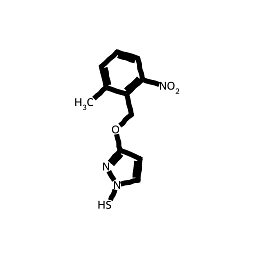 Cc1cccc([N+](=O)[O-])c1COc1ccn(S)n1